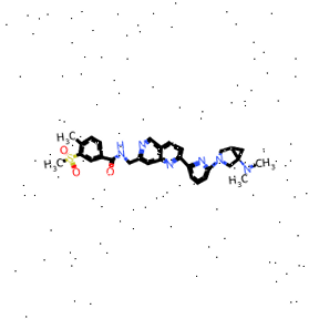 Cc1ccc(C(=O)NCc2cc3nc(-c4cccc(N5CC6C[C@]6(N(C)C)C5)n4)ccc3cn2)cc1S(C)(=O)=O